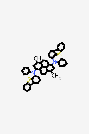 Cc1cc(N(c2ccccc2)c2cccc3c2sc2ccccc23)c2ccc3c(C)cc(N(c4ccccc4)c4cccc5c4sc4ccccc45)c4ccc1c2c34